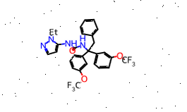 CCn1nccc1NC(=O)NC(Cc1ccccc1)(c1cccc(OC(F)(F)F)c1)c1cccc(OC(F)(F)F)c1